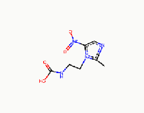 Cc1ncc([N+](=O)[O-])n1CCNC(=O)O